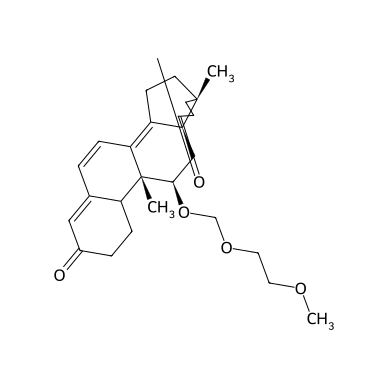 COCCOCO[C@@H]1C[C@@]23C(=O)CC[C@]2(C)CCC3=C2C=CC3=CC(=O)CCC3[C@]21C